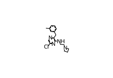 Cc1cccc(Cc2ncc(Cl)nc2NCCN2CCC2)c1